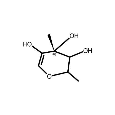 CC1OC=C(O)[C@](C)(O)C1O